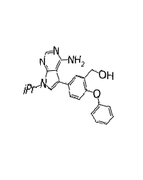 CC(C)n1cc(-c2ccc(Oc3ccccc3)c(CO)c2)c2c(N)ncnc21